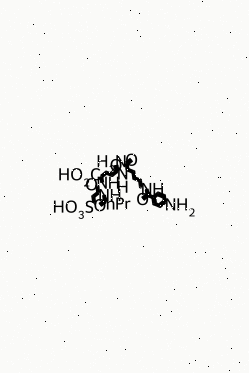 CCCC(=O)NC(CCS(=O)(=O)O)C(=O)NC(CCC(=O)NC(CCCCNC(=O)c1ccc(N)cc1)C(N)=O)C(=O)O